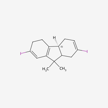 CC1(C)C2=C(CCC(I)=C2)[C@H]2CC=C(I)CC21